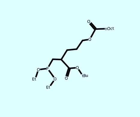 CCCCCCCCC(=O)OCCCC(CP(OCC)OCC)C(=O)OC(C)(C)C